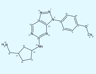 COc1ccc(-n2nnc3cnc(NC4CCC(CN)C4)nc32)cc1